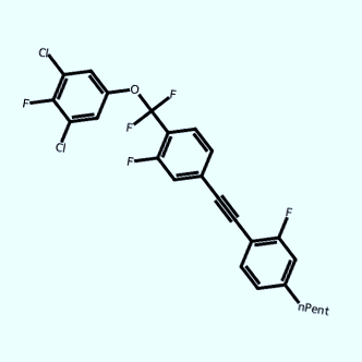 CCCCCc1ccc(C#Cc2ccc(C(F)(F)Oc3cc(Cl)c(F)c(Cl)c3)c(F)c2)c(F)c1